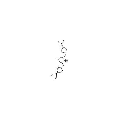 CCN(CC)c1ccc(C=C2CC(C)CC(=Cc3ccc(N(CC)CC)cc3)N2)cc1